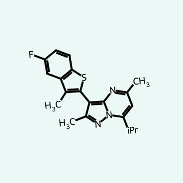 Cc1cc(C(C)C)n2nc(C)c(-c3sc4ccc(F)cc4c3C)c2n1